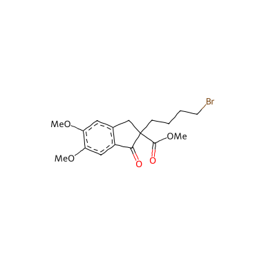 COC(=O)C1(CCCCBr)Cc2cc(OC)c(OC)cc2C1=O